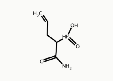 C=CCC(C(N)=O)[PH](=O)O